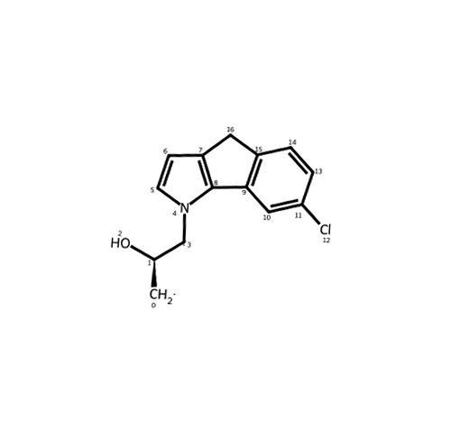 [CH2][C@@H](O)[CH]n1ccc2c1-c1cc(Cl)ccc1C2